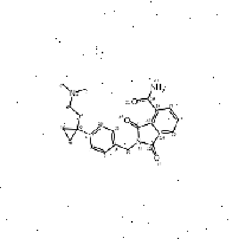 CN(C)CCC1(c2ccc(CN3C(=O)c4cccc(C(N)=O)c4C3=O)cc2)CC1